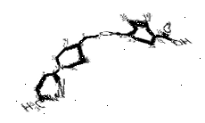 Cc1ccc(N2CCC(CCOc3ccc(C(=O)O)cc3)CC2)nn1